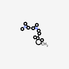 C=C1/C=C\C=C/Cc2c(cc(-c3ccc4ccc(-n5c6ccccc6c6cc(-c7ccc8c(c7)c7ccccc7n8-c7ccccc7)ccc65)cc4c3)c3ccccc23)-c2ccccc21